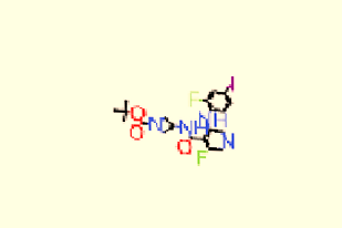 CC(C)(C)OC(=O)N1CC(NC(=O)c2c(F)cncc2Nc2ccc(I)cc2F)C1